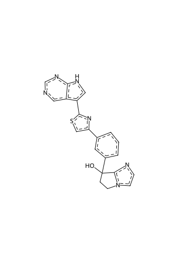 OC1(c2cccc(-c3csc(-c4c[nH]c5ncncc45)n3)c2)CCn2ccnc21